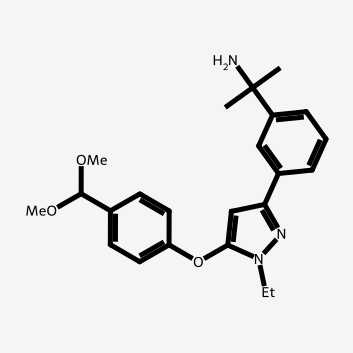 CCn1nc(-c2cccc(C(C)(C)N)c2)cc1Oc1ccc(C(OC)OC)cc1